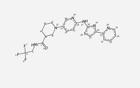 O=C(NCC(F)(F)F)C1CCCN(c2ccc(Nc3nc(-c4ccccn4)cs3)nc2)C1